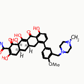 COc1ccc(-c2ccc(O)c3c2C[C@H]2C[C@H]4CC(O)=C(C(N)=O)C(=O)[C@@]4(O)C(O)=C2C3=O)cc1CN1CCN(C)CC1